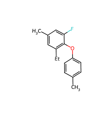 CCc1cc(C)cc(F)c1Oc1ccc(C)cc1